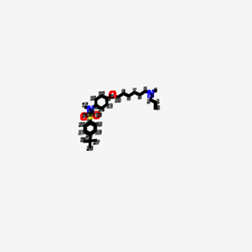 C=CCN(C)CCCCCCOC1CCC(N(C)S(=O)(=O)c2ccc(C(C)(C)C)cc2)CC1